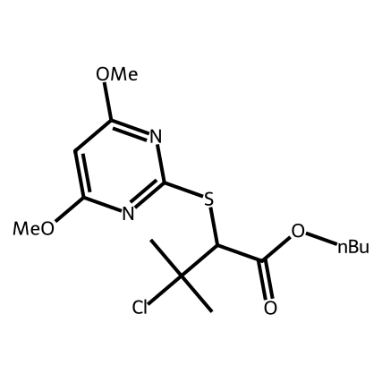 CCCCOC(=O)C(Sc1nc(OC)cc(OC)n1)C(C)(C)Cl